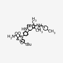 Cc1[nH]c(C=C2C(=O)Nc3cc(N(C(=O)C4(C(N)=O)CC4)c4cc(C(C)(C)C)on4)ccc32)c(C)c1NC(=O)CN1CCC(C)CC1